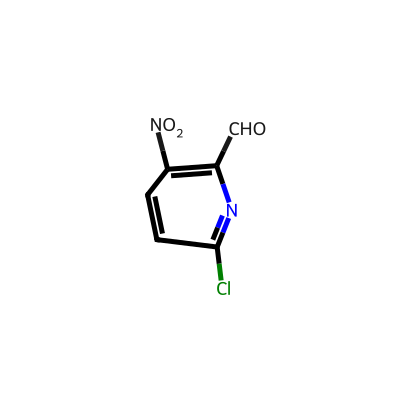 O=Cc1nc(Cl)ccc1[N+](=O)[O-]